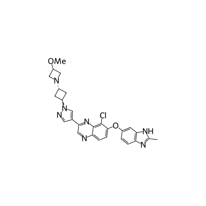 COC1CN([C@H]2C[C@H](n3cc(-c4cnc5ccc(Oc6ccc7nc(C)[nH]c7c6)c(Cl)c5n4)cn3)C2)C1